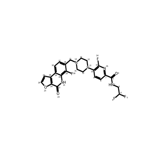 O=C(NCC(F)F)c1ccc(N2CCN(Cc3ccc4c([nH]c(=O)c5occc54)c3F)CC2)c(F)n1